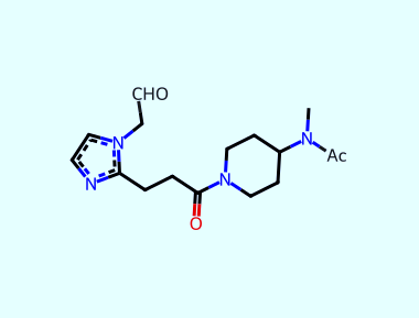 CC(=O)N(C)C1CCN(C(=O)CCc2nccn2CC=O)CC1